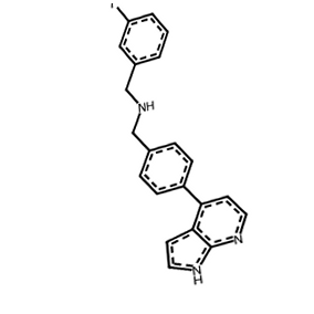 Fc1cccc(CNCc2ccc(-c3ccnc4[nH]ccc34)cc2)c1